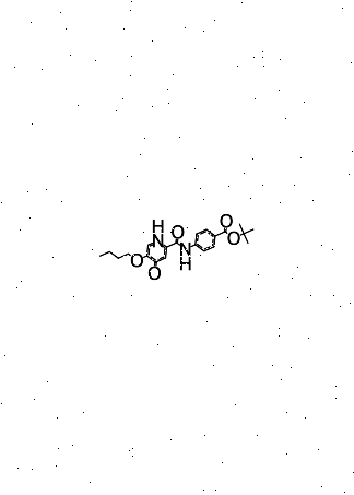 CCCCOc1c[nH]c(C(=O)Nc2ccc(C(=O)OC(C)(C)C)cc2)cc1=O